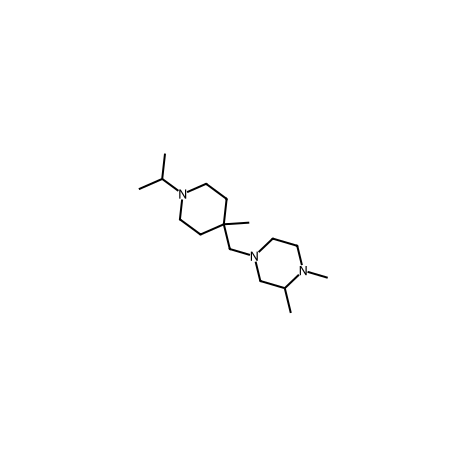 CC1CN(CC2(C)CCN(C(C)C)CC2)CCN1C